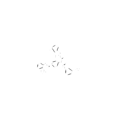 COc1cccc(NC(=O)C(C(=O)NCc2cccc(F)c2)c2ccc(C(=O)Nc3ccccc3N)cc2)c1